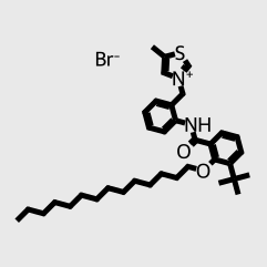 CCCCCCCCCCCCCCOc1c(C(=O)Nc2ccccc2C[n+]2csc(C)c2)cccc1C(C)(C)C.[Br-]